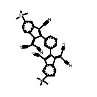 C[Si](C)(C)c1ccc2c(c1)C(C#N)=C(c1cccc(C3=C(C#N)c4cc([Si](C)(C)C)ccc4C3=C(C#N)C#N)c1)C2=C(C#N)C#N